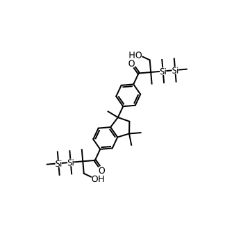 CC1(C)CC(C)(c2ccc(C(=O)C(C)(CO)[Si](C)(C)[Si](C)(C)C)cc2)c2ccc(C(=O)C(C)(CO)[Si](C)(C)[Si](C)(C)C)cc21